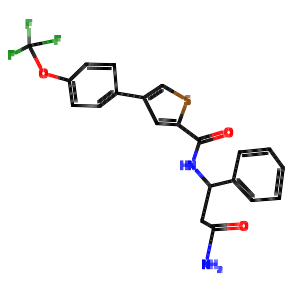 NC(=O)CC(NC(=O)c1cc(-c2ccc(OC(F)(F)F)cc2)cs1)c1ccccc1